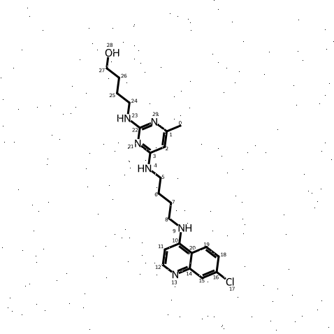 Cc1cc(NCCCCNc2ccnc3cc(Cl)ccc23)nc(NCCCCO)n1